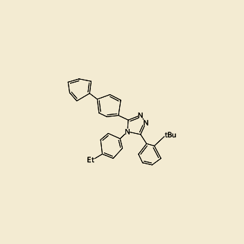 CCc1ccc(-n2c(-c3ccc(-c4ccccc4)cc3)nnc2-c2ccccc2C(C)(C)C)cc1